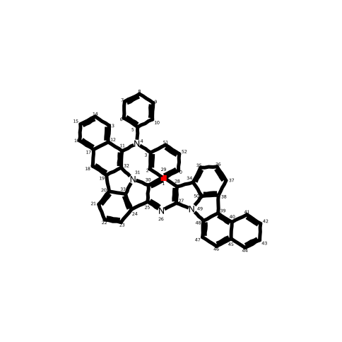 c1ccc(N(c2ccccc2)c2c3ccccc3cc3c4cccc5c6nc7c(cc6n(c23)c45)c2cccc3c4c5ccccc5ccc4n7c23)cc1